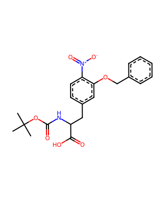 CC(C)(C)OC(=O)NC(Cc1ccc([N+](=O)[O-])c(OCc2ccccc2)c1)C(=O)O